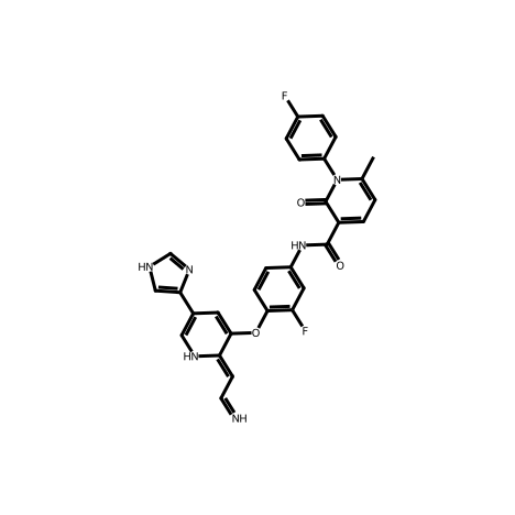 Cc1ccc(C(=O)Nc2ccc(OC3=CC(c4c[nH]cn4)=CN/C3=C\C=N)c(F)c2)c(=O)n1-c1ccc(F)cc1